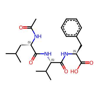 CC(=O)N[C@@H](CC(C)C)C(=O)N[C@H](C(=O)N[C@@H](Cc1ccccc1)C(=O)O)C(C)C